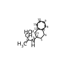 CC(C)N[C@@H]1CCc2ccccc2[C@H]1O